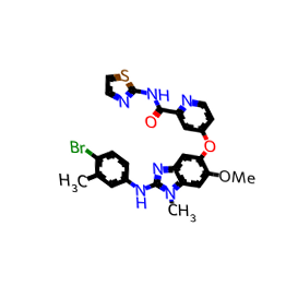 COc1cc2c(cc1Oc1ccnc(C(=O)Nc3nccs3)c1)nc(Nc1ccc(Br)c(C)c1)n2C